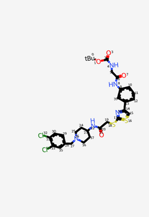 CC(C)(C)OC(=O)NCC(=O)Nc1cccc(-c2csc(SCC(=O)NC3CCN(Cc4ccc(Cl)c(Cl)c4)CC3)n2)c1